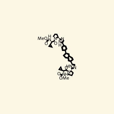 COC(=O)N[C@H](C(=O)N1CCC[C@H]1c1ncc(-c2ccc(-c3ccc4cc(-c5cnc([C@@H]6CCCN6C(=O)[C@@H](NC(=O)OC)C6CC6)[nH]5)ccc4c3)cc2)[nH]1)C1CC1